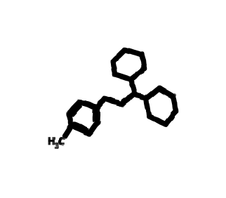 Cc1ccc(CCC(C2CCCCC2)C2CCCCC2)cc1